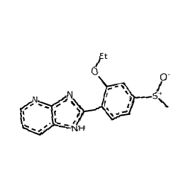 CCOc1cc([S+](C)[O-])ccc1-c1nc2ncccc2[nH]1